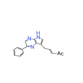 CC(=O)C=CCc1c[nH]c2ncc(-c3ccccc3)nc12